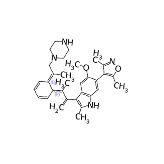 C=C(/C(C)=c1\cccc\c1=C(\C)CN1CCNCC1)c1c(C)[nH]c2cc(-c3c(C)noc3C)c(OC)cc12